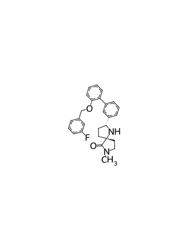 CN1CC[C@]2(CC[C@H](c3cccc(-c4ccccc4OCc4cccc(F)c4)c3)N2)C1=O